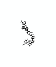 CCC(NC(=O)OC)C(=O)N1CCCC1c1ncc(-c2ccc3cc(-c4ccc(-c5cnc(C6CCCN6C(=O)[C@@H](NC(=O)OC)C(C)C)[nH]5)s4)ccc3c2)[nH]1